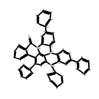 O=c1c2ccccc2c2c(-c3ccccc3)cc3c4c2n1-c1cc(-c2ccccc2)ccc1N4c1ccc(-c2ccccc2)cc1N3c1ccccc1